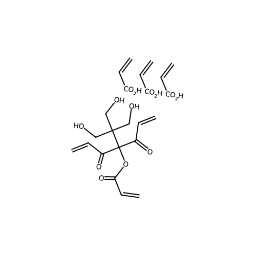 C=CC(=O)O.C=CC(=O)O.C=CC(=O)O.C=CC(=O)OC(C(=O)C=C)(C(=O)C=C)C(CO)(CO)CO